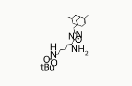 CC1=CCC2(Cc3noc(C(N)CCCCNC(=O)OC(C)(C)C)n3)CC(C)CC1C2